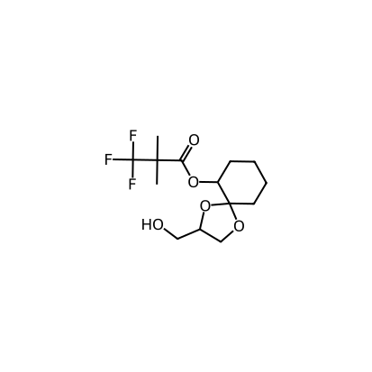 CC(C)(C(=O)OC1CCCCC12OCC(CO)O2)C(F)(F)F